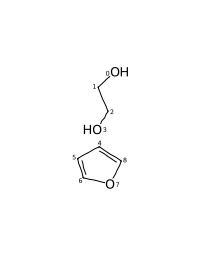 OCCO.c1ccoc1